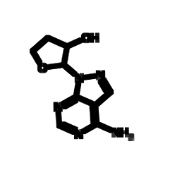 Nc1ncnc2c1cnn2C1OCCC1O